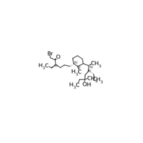 CC[C@H](CCC[C@@H]1CCCC([C@@H](C)[C@H](CC)CC(C)(O)CC)[C@H]1C)C(=O)CBr